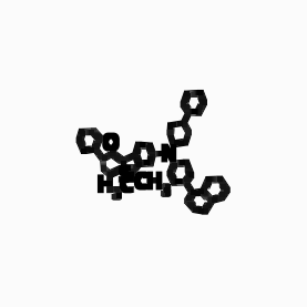 C[Si]1(C)C2=CCC3C(=C2c2ccc(N(C4=CCC(c5ccccc5)C=C4)c4ccc(-c5cccc6ccccc56)cc4)cc21)Oc1ccccc13